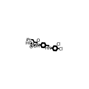 CC(C)CC(C(=O)Nc1ccc(CNc2ccc(Cl)c(Cl)c2)cc1)P(=O)(O)O